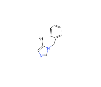 [2H]c1cncn1Cc1ccccc1